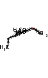 CCCCCCCC/C=C\CCCCCCCC(=O)OCCN(CCOC(=O)CCCCCCC/C=C\CCCCCCCC)C(O)CC